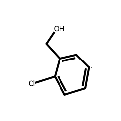 OCc1c[c]ccc1Cl